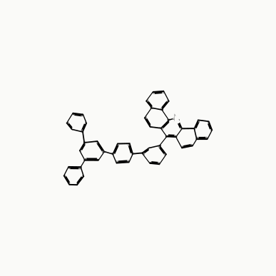 c1ccc(-c2cc(-c3ccccc3)cc(-c3ccc(-c4cccc(-c5c6ccc7ccccc7c6nc6c5ccc5ccccc56)c4)cc3)c2)cc1